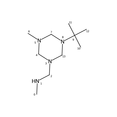 CNCN1CN(C)CN(C(C)(C)C)C1